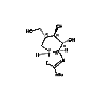 CCCCC1=N[C@@H]2[C@@H](O)[C@H](O)[C@@H](CO)C[C@@H]2O1